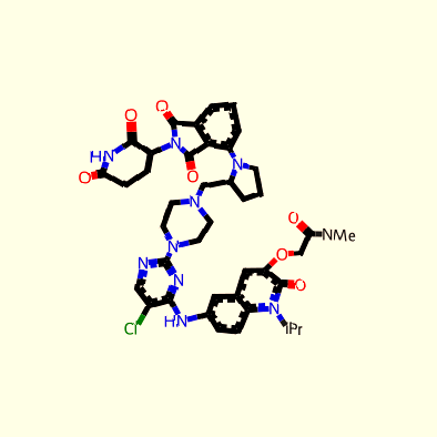 CNC(=O)COc1cc2cc(Nc3nc(N4CCN(CC5CCCN5c5cccc6c5C(=O)N(C5CCC(=O)NC5=O)C6=O)CC4)ncc3Cl)ccc2n(C(C)C)c1=O